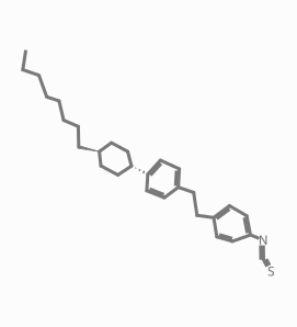 CCCCCCCC[C@H]1CC[C@H](c2ccc(CCc3ccc(N=C=S)cc3)cc2)CC1